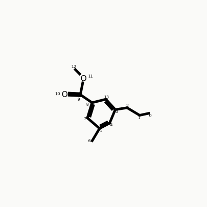 CCCc1cc(C)cc(C(=O)OC)c1